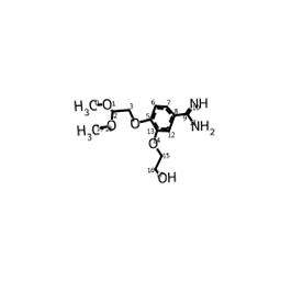 COC(COc1ccc(C(=N)N)cc1OCCO)OC